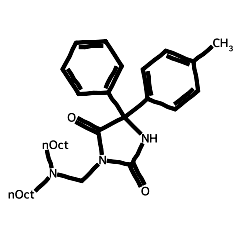 CCCCCCCCN(CCCCCCCC)CN1C(=O)NC(c2ccccc2)(c2ccc(C)cc2)C1=O